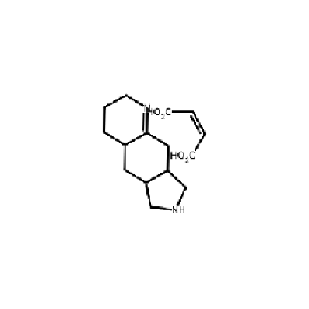 C1CN=C2CC3CNCC3CC2C1.O=C(O)/C=C\C(=O)O